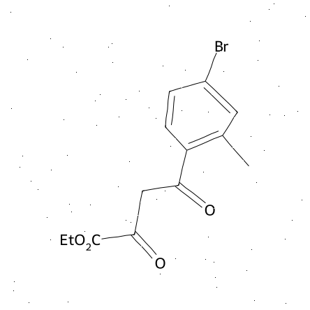 CCOC(=O)C(=O)CC(=O)c1ccc(Br)cc1C